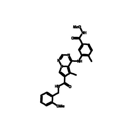 CONC(=O)c1ccc(C)c(Nc2ncnn3cc(C(=O)NCc4ccccc4OC)c(C)c23)c1